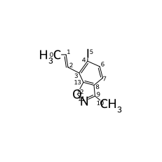 C/C=C/c1c(I)ccc2c(C)noc12